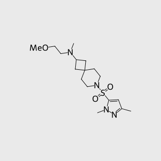 COCCN(C)C1CC2(CCN(S(=O)(=O)c3cc(C)nn3C)CC2)C1